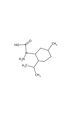 CC1CCC(C(C)C)C(N(N)C(=O)O)C1